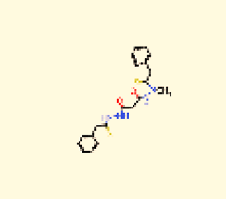 CN(NC(=O)CC(=O)NNC(=S)Cc1ccccc1)C(=S)Cc1ccccc1